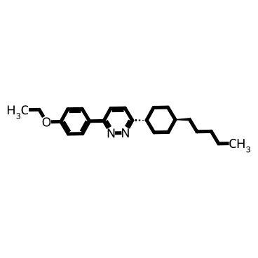 CCCCC[C@H]1CC[C@H](c2ccc(-c3ccc(OCC)cc3)nn2)CC1